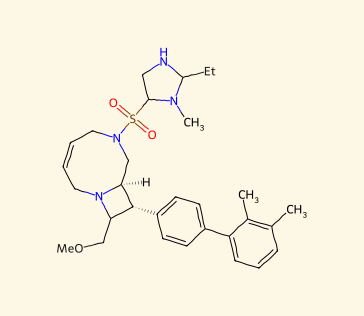 CCC1NCC(S(=O)(=O)N2C/C=C\CN3C(COC)[C@@H](c4ccc(-c5cccc(C)c5C)cc4)[C@@H]3C2)N1C